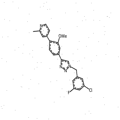 COc1cc(-c2cn(Cc3cc(F)cc(Cl)c3)nn2)ccc1-c1ccnc(C)c1